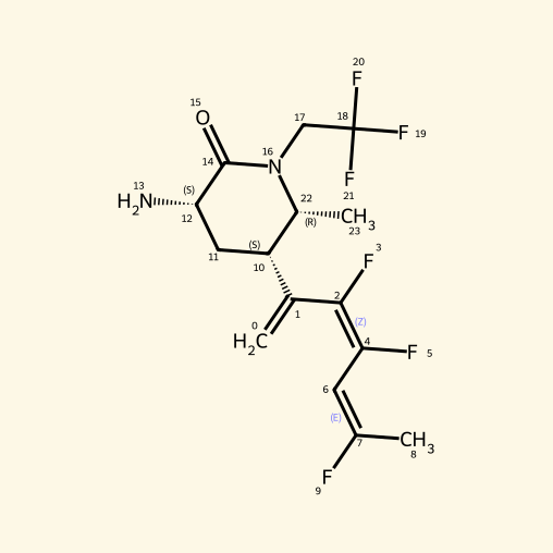 C=C(/C(F)=C(F)\C=C(/C)F)[C@@H]1C[C@H](N)C(=O)N(CC(F)(F)F)[C@@H]1C